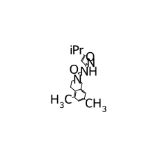 Cc1cc(C)c2c(c1)CN(C(=O)Nc1cc(C(C)C)on1)CC2